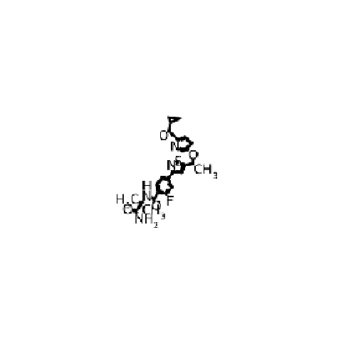 C[C@@H](Oc1ccc(C(=O)C2CC2)nc1)c1cc(-c2ccc(C(=O)NC(C)(C)C(N)=O)c(F)c2)ns1